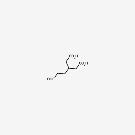 O=CCCC(CC(=O)O)CC(=O)O